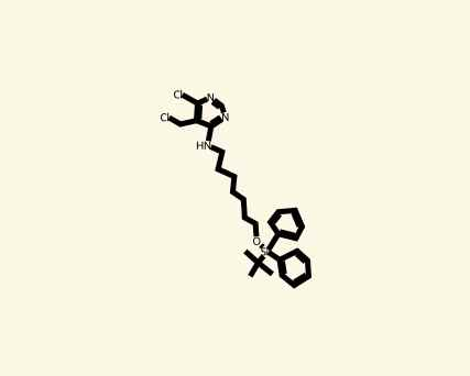 CC(C)(C)[Si](OCCCCCCCNc1ncnc(Cl)c1CCl)(c1ccccc1)c1ccccc1